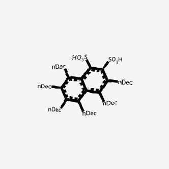 CCCCCCCCCCc1c(CCCCCCCCCC)c(CCCCCCCCCC)c2c(S(=O)(=O)O)c(S(=O)(=O)O)c(CCCCCCCCCC)c(CCCCCCCCCC)c2c1CCCCCCCCCC